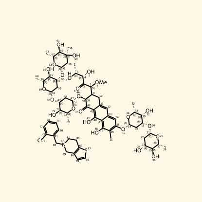 CO[C@H](C(=O)[C@@H](O)[C@@H](C)O)C1Cc2cc3cc(O[C@H]4C[C@@H](O[C@H]5C[C@@H](O)[C@H](O)[C@@H](C)O5)[C@@H](O)[C@@H](C)O4)c(C)c(O)c3c(O)c2C(=O)[C@H]1O[C@H]1C[C@@H](O[C@H]2C[C@@H](O[C@H]3C[C@](C)(O)[C@H](O)[C@@H](C)O3)[C@H](O)[C@@H](C)O2)[C@H](O)[C@@H](C)O1.Clc1ccccc1CN1CCc2sccc2C1